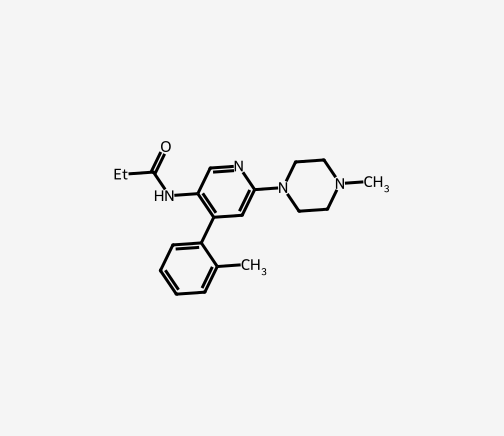 CCC(=O)Nc1cnc(N2CCN(C)CC2)cc1-c1ccccc1C